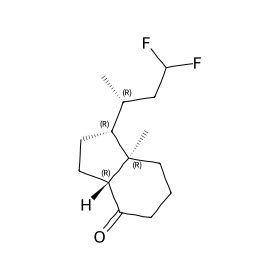 C[C@H](CC(F)F)[C@H]1CC[C@H]2C(=O)CCC[C@]12C